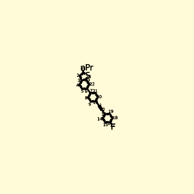 CCCc1cc2ccc(-c3ccc(C#Cc4ccc(F)cc4)cc3)cc2s1